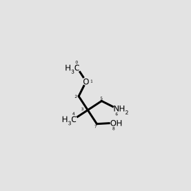 COCC(C)(CN)CO